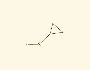 [CH2]SC1CC1